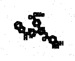 COC(=O)c1ccc(-c2nn(CC(=O)N3CCc4[nH]nnc4C3)cc2-c2cnc(NC3Cc4ccccc4C3)nc2)cc1